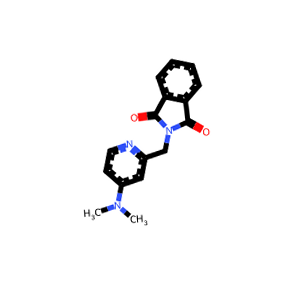 CN(C)c1ccnc(CN2C(=O)c3ccccc3C2=O)c1